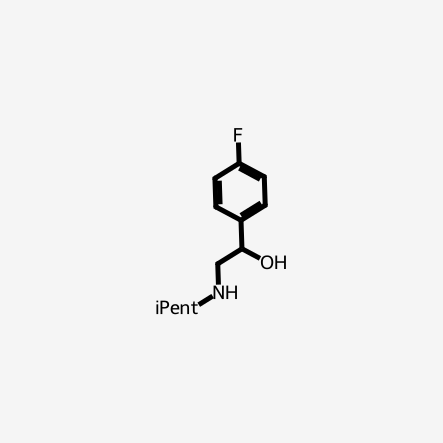 CCCC(C)NCC(O)c1ccc(F)cc1